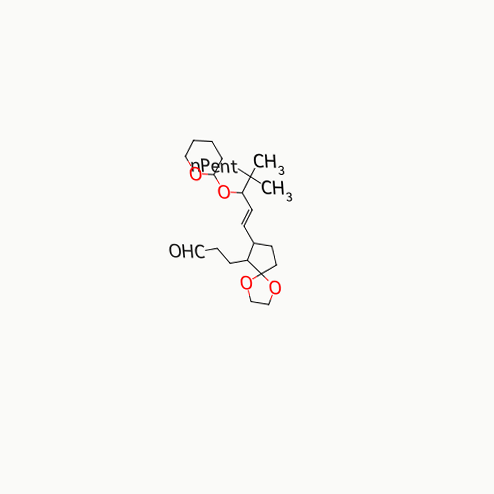 CCCCCC(C)(C)C(/C=C/C1CCC2(OCCO2)C1CCC=O)OC1CCCCO1